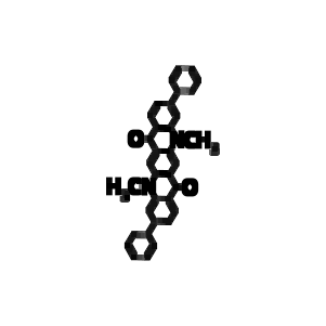 Cn1c2cc(-c3ccccc3)ccc2c(=O)c2cc3c(cc21)c(=O)c1ccc(-c2ccccc2)cc1n3C